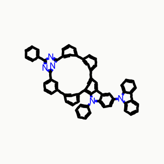 c1ccc(-c2nc3nc(n2)c2cccc(c2)c2cccc(c2)c2cc(cc4c5cc(-n6c7ccccc7c7ccccc76)ccc5n(-c5ccccc5)c24)c2cccc(c2)c2cccc3c2)cc1